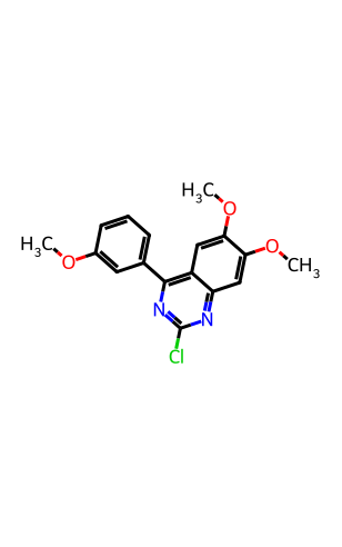 COc1cccc(-c2nc(Cl)nc3cc(OC)c(OC)cc23)c1